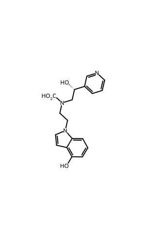 O=C(O)N(CCn1ccc2c(O)cccc21)C[C@H](O)c1cccnc1